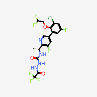 C[C@@H](NC(=O)NNC(=O)C(F)(F)F)c1ncc(-c2cc(F)cc(Cl)c2OCC(F)F)cc1F